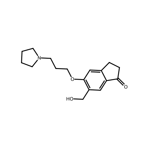 O=C1CCc2cc(OCCCN3CCCC3)c(CO)cc21